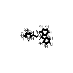 [2H]c1c([2H])c([2H])c([C@@](C)(OCC[C@]2([2H])N(C)C([2H])([2H])C([2H])([2H])C2([2H])[2H])c2c([2H])c([2H])c(Cl)c([2H])c2[2H])c([2H])c1[2H]